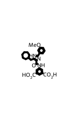 COc1cccc(-c2nc(C(=O)Nc3cc(C(=O)O)cc(C(=O)O)c3)c(CC3CCCCCC3)[nH]2)c1